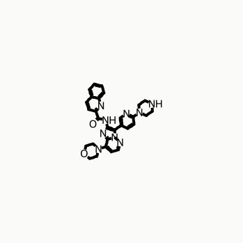 O=C(Nc1nc2c(N3CCOCC3)ccnn2c1-c1ccc(N2CCNCC2)nc1)c1ccc2ccccc2n1